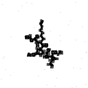 C=CCCCCC[C@H](NC(=O)OC(C)(C)C)C(=O)N1C[C@H](OC(C)=O)C[C@H]1C(=O)N[C@]1(C(=O)OCC)C[C@H]1C=C